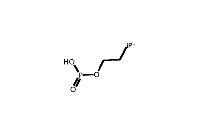 CC(C)CCO[P](=O)O